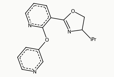 CC(C)C1COC(c2cccnc2Oc2cccnc2)=N1